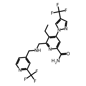 CCc1c(-n2cc(C(F)(F)F)cn2)cc(C(N)=O)nc1CNCc1ccnc(C(F)(F)F)c1